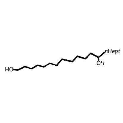 CCCCCCCC(O)CCCCCCCCCCCCO